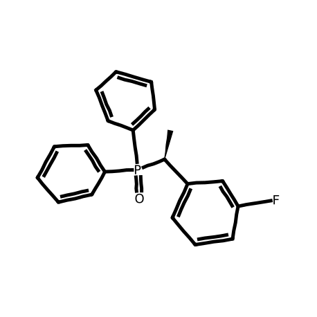 C[C@@H](c1cccc(F)c1)P(=O)(c1ccccc1)c1ccccc1